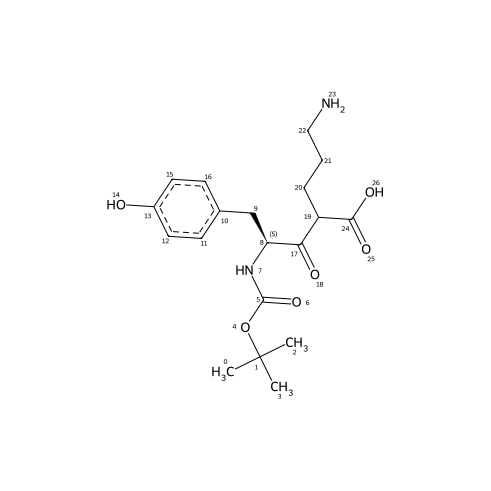 CC(C)(C)OC(=O)N[C@@H](Cc1ccc(O)cc1)C(=O)C(CCCN)C(=O)O